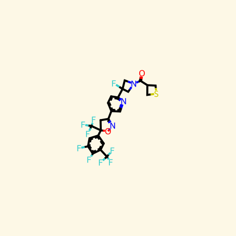 O=C(C1CSC1)N1CC(F)(c2ccc(C3=NOC(c4cc(F)c(F)c(C(F)(F)F)c4)(C(F)(F)F)C3)cn2)C1